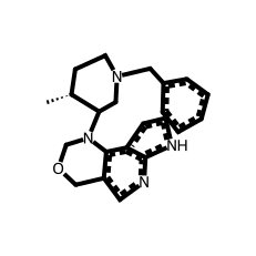 C[C@@H]1CCN(Cc2ccccc2)CC1N1COCc2cnc3[nH]ccc3c21